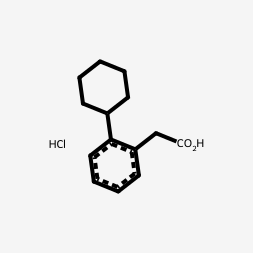 Cl.O=C(O)Cc1ccccc1C1CCCCC1